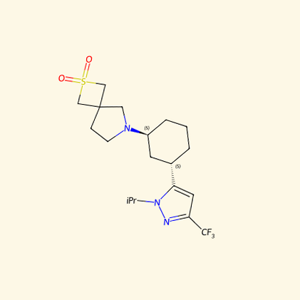 CC(C)n1nc(C(F)(F)F)cc1[C@H]1CCC[C@H](N2CCC3(C2)CS(=O)(=O)C3)C1